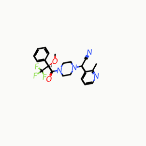 CO[C@](C(=O)N1CCN(C(C#N)c2cccnc2C)CC1)(c1ccccc1)C(F)(F)F